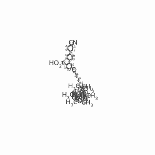 C[Si](C)(C)O[Si](C)(C)O[Si](C)(C)O[Si](C)(C)O[Si](C)(C)O[Si](C)(C)CCCCCCOc1ccc(C(=O)O)c(-c2ccc(-c3ccc(C#N)cc3)cc2)c1